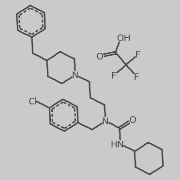 O=C(NC1CCCCC1)N(CCCN1CCC(Cc2ccccc2)CC1)Cc1ccc(Cl)cc1.O=C(O)C(F)(F)F